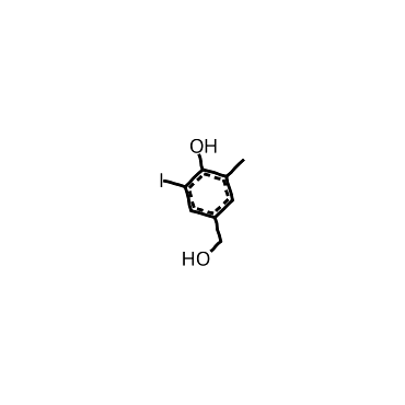 Cc1cc(CO)cc(I)c1O